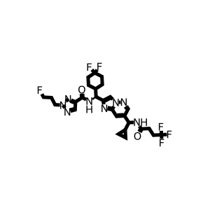 O=C(CCC(F)(F)F)NC(c1cnn2cc([C@@H](NC(=O)c3cnn(CCCF)n3)C3CCC(F)(F)CC3)nc2c1)C1CC1